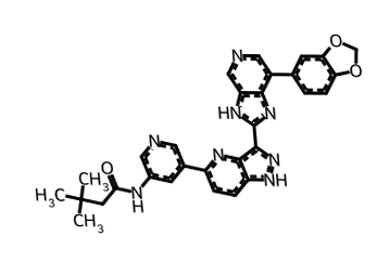 CC(C)(C)CC(=O)Nc1cncc(-c2ccc3[nH]nc(-c4nc5c(-c6ccc7c(c6)OCO7)cncc5[nH]4)c3n2)c1